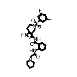 O=C(CN1CCCCC1)Nc1ccccc1C(=O)Nc1n[nH]c2c1CN(S(=O)(=O)c1cc(F)cc(F)c1)CC2